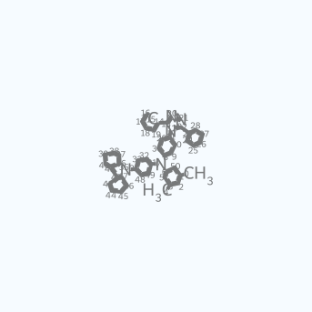 Cc1cc(C)cc(N(c2ccc(-n3c(-c4ccccc4)nnc3-c3ccccc3)cc2)c2ccc(-n3c4ccccc4c4ccccc43)cc2)c1